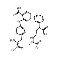 C[C@H](NCCC(C(=O)O)c1ccccc1)C(=O)O.N[C@@H](Cc1ccc(Nc2ccccc2C(=O)O)cc1)C(=O)O